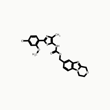 COc1cc(Cl)ccc1-c1nc(C)c(NC(=O)OCc2ccc3c(c2)nc2n3CCOC2)s1